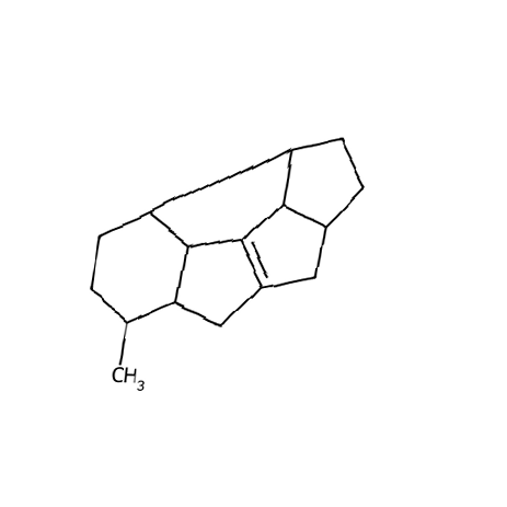 CC1CCC2C3CCC4CC5=C(C43)C2C1C5